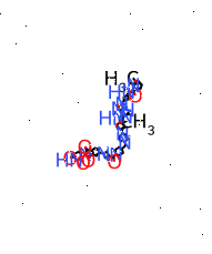 Cc1cccc(C(=O)NC2CC(n3cnc4c(Nc5ccc(N6CCN(CC7CCN(C(=O)C8CN(c9ccc%10c(c9)C(=O)N([C@H]9CCC(=O)NC9=O)C%10=O)C8)CC7)CC6)cc5C)ncnc43)C2)n1